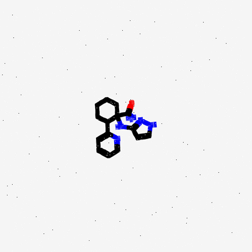 NC(=O)C1(Nc2cc[nH]n2)CCCCC1c1ccccn1